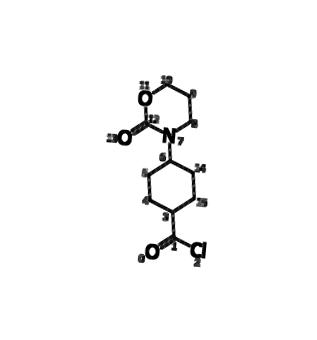 O=C(Cl)C1CCC(N2CCCOC2=O)CC1